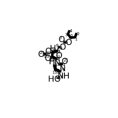 CCC(CC)OC(=O)OC[C@H]1O[C@@H](n2ccc(NO)nc2=O)[C@@H]2OC(=O)O[C@@H]21